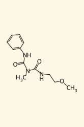 COCCNC(=O)N(C)C(=O)Nc1ccccc1